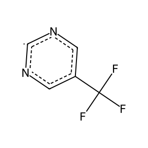 FC(F)(F)c1cn[c]nc1